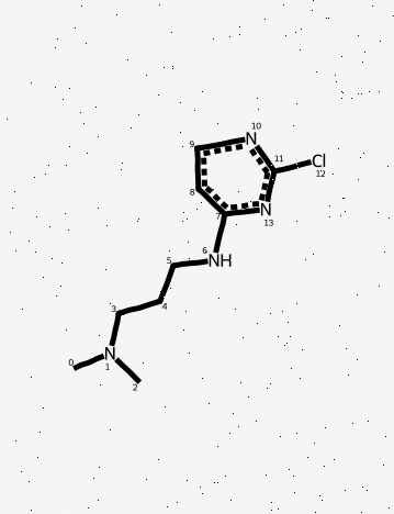 CN(C)CCCNc1ccnc(Cl)n1